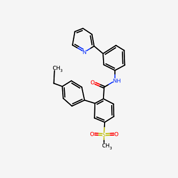 CCc1ccc(-c2cc(S(C)(=O)=O)ccc2C(=O)Nc2cccc(-c3ccccn3)c2)cc1